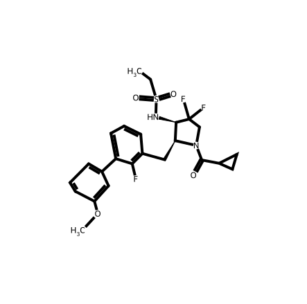 CCS(=O)(=O)N[C@@H]1[C@H](Cc2cccc(-c3cccc(OC)c3)c2F)N(C(=O)C2CC2)CC1(F)F